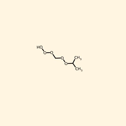 CC(C)OOCOOO